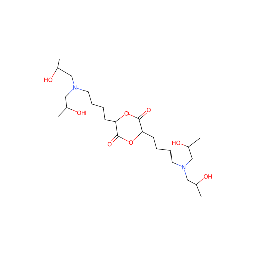 CC(O)CN(CCCCC1OC(=O)C(CCCCN(CC(C)O)CC(C)O)OC1=O)CC(C)O